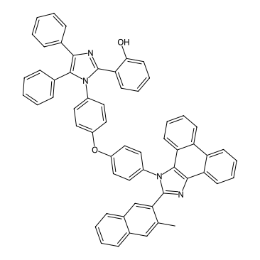 Cc1cc2ccccc2cc1-c1nc2c3ccccc3c3ccccc3c2n1-c1ccc(Oc2ccc(-n3c(-c4ccccc4O)nc(-c4ccccc4)c3-c3ccccc3)cc2)cc1